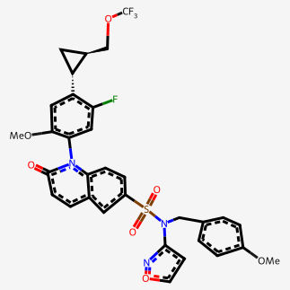 COc1ccc(CN(c2ccon2)S(=O)(=O)c2ccc3c(ccc(=O)n3-c3cc(F)c([C@@H]4C[C@H]4COC(F)(F)F)cc3OC)c2)cc1